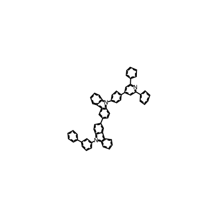 c1ccc(-c2cccc(-n3c4ccccc4c4cc(-c5ccc6c(c5)c5ccccc5n6-c5ccc(-c6cc(-c7ccccc7)nc(-c7ccccc7)c6)cc5)ccc43)c2)cc1